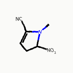 CN1C(C#N)=CCC1[N+](=O)[O-]